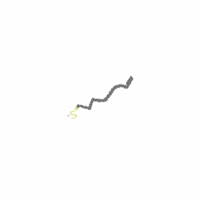 C=CCCCCC[S]